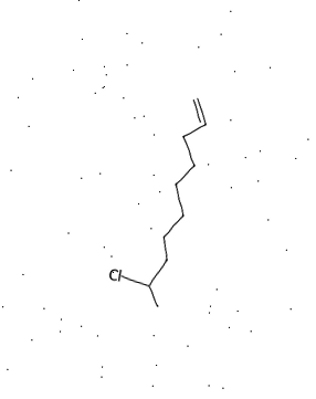 C=CCCCCCCC(C)Cl